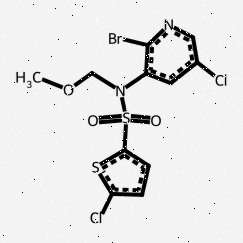 COCN(c1cc(Cl)cnc1Br)S(=O)(=O)c1ccc(Cl)s1